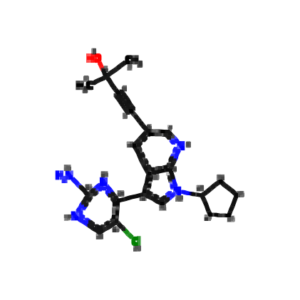 CC(C)(O)C#Cc1cnc2c(c1)c(-c1nc(N)ncc1Cl)cn2C1CCCC1